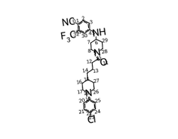 N#Cc1ccc(NC2CCN(C(=O)CCCC3CCN(c4ccc(Cl)cc4)CC3)CC2)cc1C(F)(F)F